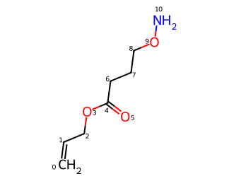 C=CCOC(=O)CCCON